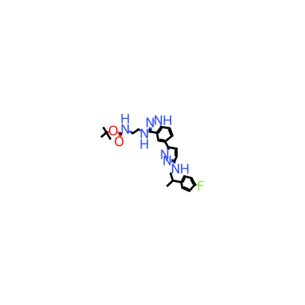 CC(CNc1ccc(-c2ccc3[nH]nc(NCCNC(=O)OC(C)(C)C)c3c2)nn1)c1ccc(F)cc1